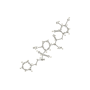 Cc1ccc(N(C)C(=O)Cn2ncc(Cl)c(Cl)c2=O)cc1S(=O)(=O)NCCc1ccccn1